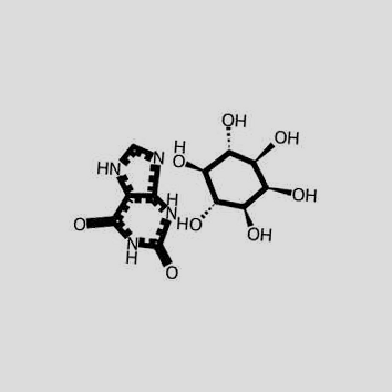 O=c1[nH]c(=O)c2[nH]cnc2[nH]1.O[C@H]1[C@H](O)[C@@H](O)[C@H](O)[C@@H](O)[C@H]1O